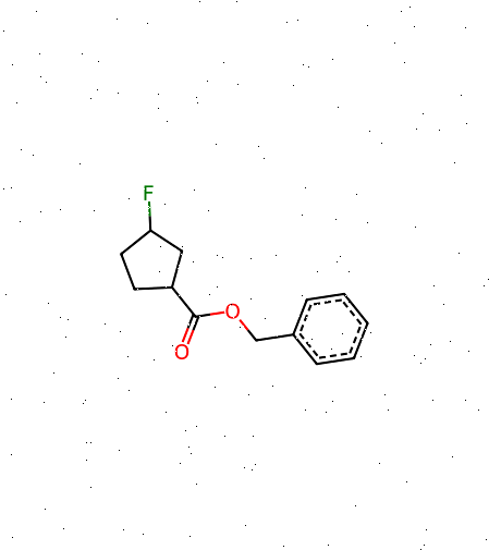 O=C(OCc1ccccc1)C1CCC(F)C1